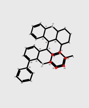 CC1C=CCCC1C1CCCC2SC3C=CC=CC3C(C3c4ccccc4SC4C(c5ccccc5)=CC=CC43)C21